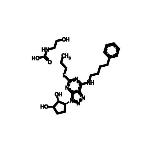 CCCSc1nc(NCCCCc2ccccc2)c2nnn([C@@H]3CC[C@@H](O)[C@H]3O)c2n1.O=C(O)NCCO